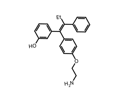 CCC(=C(c1ccc(OCCN)cc1)c1cccc(O)c1)c1ccccc1